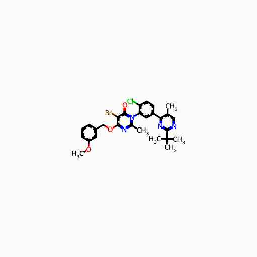 COc1cccc(COc2nc(C)n(-c3cc(-c4nc(C(C)(C)C)ncc4C)ccc3Cl)c(=O)c2Br)c1